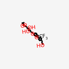 C=C(C)C(=O)OCCCC(O)C(O)CCCOc1ccc2cc(-c3ccc(CCCO)cc3C(F)(F)F)oc2c1